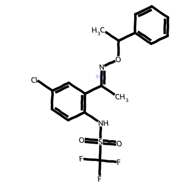 C/C(=N\OC(C)c1ccccc1)c1cc(Cl)ccc1NS(=O)(=O)C(F)(F)F